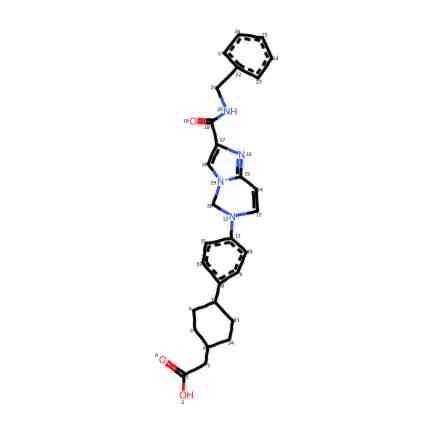 O=C(O)CC1CCC(c2ccc(N3C=CC4=NC(C(=O)NCc5ccccc5)=C[N+]4C3)cc2)CC1